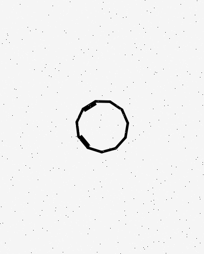 [C]1=CCCCCCCC=CC1